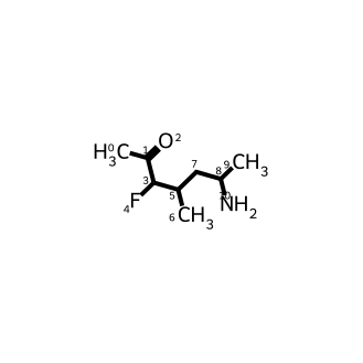 CC(=O)C(F)C(C)CC(C)N